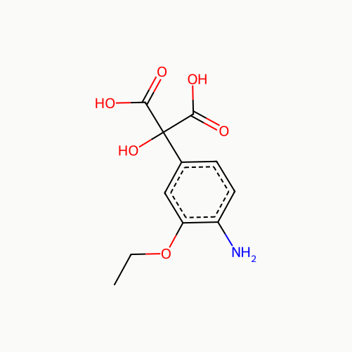 CCOc1cc(C(O)(C(=O)O)C(=O)O)ccc1N